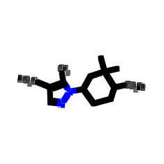 CCOC(=O)C1CCC(n2ncc(C(=O)O)c2C(F)(F)F)CC1(C)C